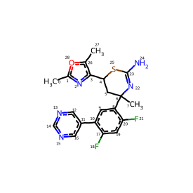 Cc1nc(C2CC(C)(c3cc(-c4cncnc4)c(F)cc3F)N=C(N)S2)c(C)o1